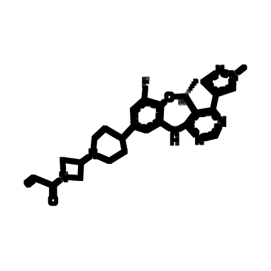 C=CC(=O)N1CC(N2CCC(c3cc(F)c4c(c3)Nc3ncnc(-c5cnn(C)c5)c3[C@@H](C)O4)CC2)C1